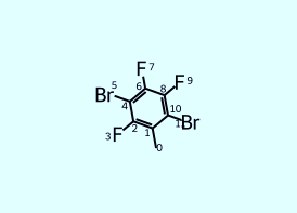 Cc1c(F)c(Br)c(F)c(F)c1Br